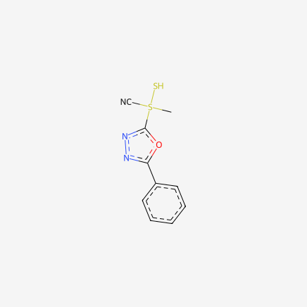 CS(S)(C#N)c1nnc(-c2ccccc2)o1